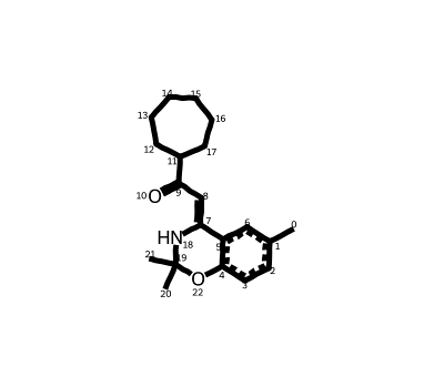 Cc1ccc2c(c1)/C(=C/C(=O)C1CCCCCC1)NC(C)(C)O2